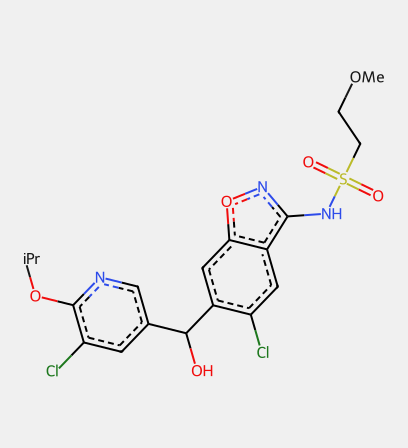 COCCS(=O)(=O)Nc1noc2cc(C(O)c3cnc(OC(C)C)c(Cl)c3)c(Cl)cc12